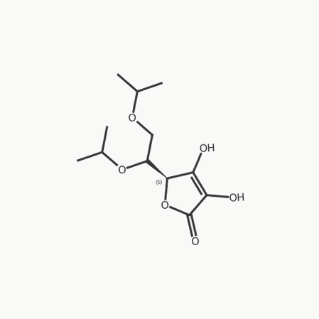 CC(C)OCC(OC(C)C)[C@@H]1OC(=O)C(O)=C1O